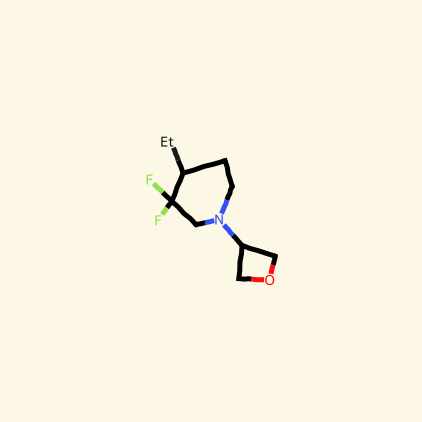 CCC1CCN(C2COC2)CC1(F)F